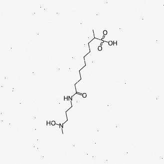 CC(CCCCCCCC(=O)NCCCN(C)O)S(=O)(=O)O